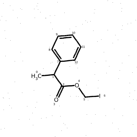 CC(C(=O)OCI)c1ccccc1